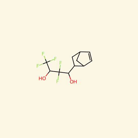 OC(C1CC2C=CC1C2)C(F)(F)C(O)C(F)(F)F